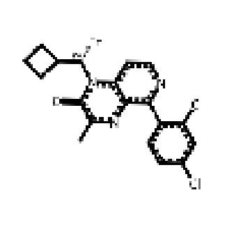 CC[C@@H](C1CCC1)n1c(=O)c(C)nc2c(-c3ccc(Cl)cc3Cl)nccc21